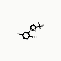 Oc1ccc(Cl)cc1-n1ccc(C(F)(F)F)n1